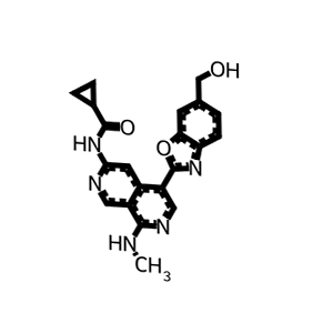 CNc1ncc(-c2nc3ccc(CO)cc3o2)c2cc(NC(=O)C3CC3)ncc12